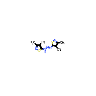 CC1=NSC(N=NNc2snc(C)c2C#N)C1C#N